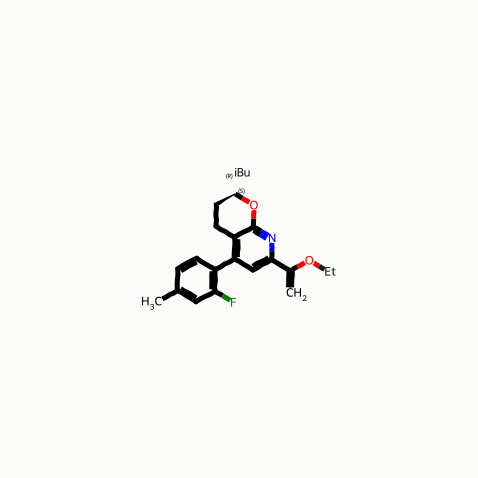 C=C(OCC)c1cc(-c2ccc(C)cc2F)c2c(n1)O[C@H]([C@H](C)CC)CC2